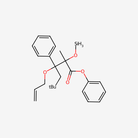 C=CCOC(CC(C)(C)C)(c1ccccc1)C(C)(O[SiH3])C(=O)Oc1ccccc1